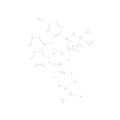 Cc1ccc2c(c1)C(c1cccc3ccccc13)OC(CC(=O)N1CCC(C(=O)O)CC1)C(=O)N2CC(C)(C)C